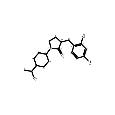 CC(O)C1CCC(N2CCC(Cc3ccc(Cl)cc3Cl)C2=O)CC1